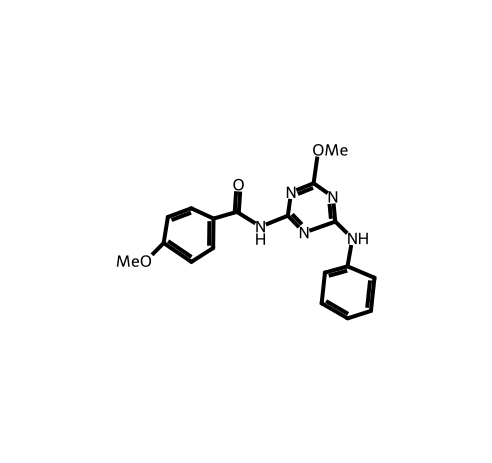 COc1ccc(C(=O)Nc2nc(Nc3ccccc3)nc(OC)n2)cc1